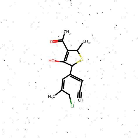 C#C/C=C(\C=C(\C)CCl)C1SC(C)C(C(C)=O)=C1O